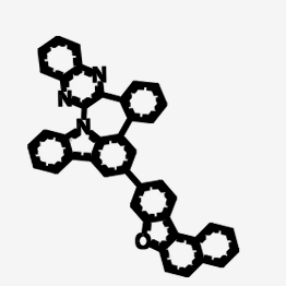 c1ccc2c(c1)-c1nc3ccccc3nc1-n1c3ccccc3c3cc(-c4ccc5c(c4)oc4ccc6ccccc6c45)cc-2c31